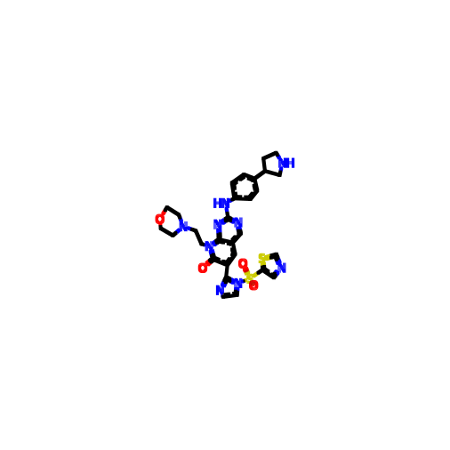 O=c1c(-c2nccn2S(=O)(=O)c2cncs2)cc2cnc(Nc3ccc(C4CCNC4)cc3)nc2n1CCN1CCOCC1